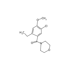 CCc1cc(OC)c(Cl)cc1C(=O)N1CCOCC1